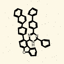 c1ccc(C2=NC(c3ccc(-c4ccccc4)cc3)=NC(c3c(-c4ccc(-c5ccc6ccccc6c5)cc4)ccc4oc5ccccc5c34)N2)cc1